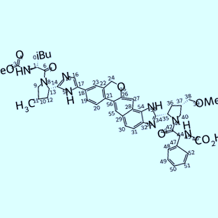 CC[C@@H](C)[C@H](NC(=O)OC)C(=O)N1C[C@@H](C)C[C@H]1c1ncc(-c2ccc3c(c2)COc2cc4c(ccc5nc([C@@H]6C[C@H](COC)CN6C(=O)[C@H](NC(=O)O)c6ccccc6)[nH]c54)cc2-3)[nH]1